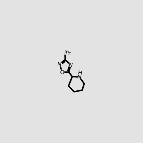 CC(C)c1noc(C2CCCCN2)n1